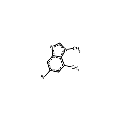 Cc1cc(Br)cc2n[c]n(C)c12